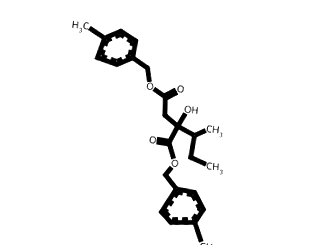 CCC(C)C(O)(CC(=O)OCc1ccc(C)cc1)C(=O)OCc1ccc(C)cc1